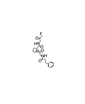 O=C(CF)CNC(=O)C1CCCN1C(=O)CNC(=O)CCc1ccccc1